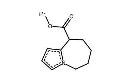 CC(C)OC(=O)C1CCCCn2cccc21